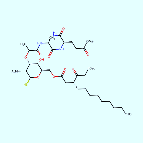 CCCCCCCCCCCC(=O)[C@H](CCCCCCCCC=O)CC(=O)OC[C@H]1O[C@@H](S)[C@H](NC(C)=O)[C@H](OC(C)C(=O)N[C@@H](C)C(=O)N[C@H](CCC(=O)OC)C(N)=O)[C@@H]1O